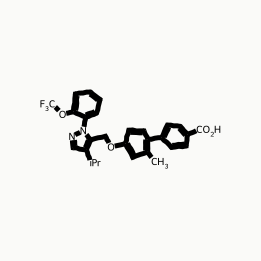 Cc1cc(OCc2c(C(C)C)cnn2-c2ccccc2OC(F)(F)F)ccc1-c1ccc(C(=O)O)cc1